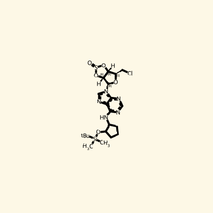 CC(C)(C)[Si](C)(C)OC1CCCC1Nc1ncnc2c1ncn2[C@@H]1O[C@H](CCl)[C@H]2OS(=O)O[C@H]21